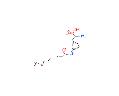 NC(Cc1cccc(NC(=O)CCCCCCCCI)c1)C(=O)O